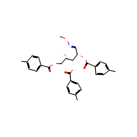 CON=C[C@@H](OC(=O)c1ccc(C)cc1)[C@H](OC(=O)c1ccc(C)cc1)[C@H](O)COC(=O)c1ccc(C)cc1